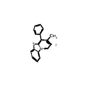 Cc1cc[n+]2c(sc3ccccc32)c1-c1ccccc1.[I-]